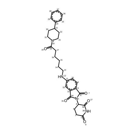 O=C1CCC(N2C(=O)c3ccc(NCCCCCC(=O)N4CCC(c5ccccc5)CC4)cc3C2=O)C(=O)N1